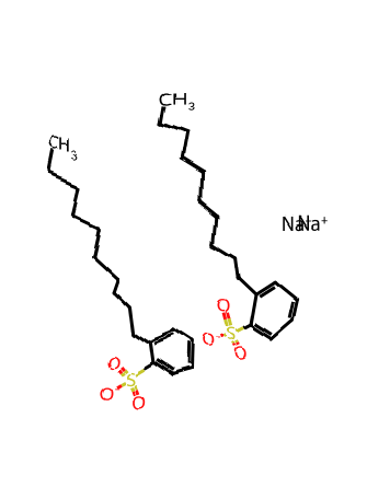 CCCCCCCCCCc1ccccc1S(=O)(=O)[O-].CCCCCCCCCCc1ccccc1S(=O)(=O)[O-].[Na+].[Na+]